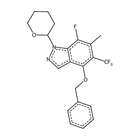 Cc1c(C(F)(F)F)c(OCc2ccccc2)c2cnn(C3CCCCO3)c2c1F